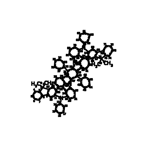 CC1(C)c2ccccc2-c2cc(N(c3ccccc3)c3cccc4c3c3cccc5c6c(-c7ccccc7)c7c(c(-c8ccccc8)c6n4c35)c3cccc4c5c(N(c6ccccc6)c6ccc8c(c6)-c6ccccc6C8(C)C)cccc5n7c43)ccc21